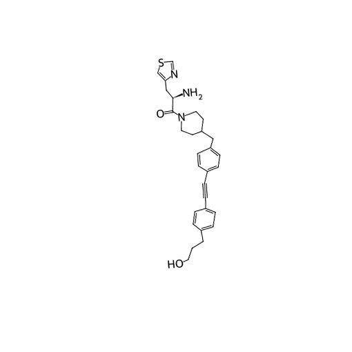 N[C@H](Cc1cscn1)C(=O)N1CCC(Cc2ccc(C#Cc3ccc(CCCO)cc3)cc2)CC1